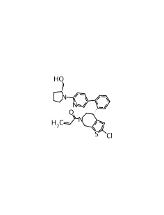 C=CC(=O)N1Cc2sc(Cl)cc2[C@@H](c2ccccc2-c2ccc(N3CCC[C@H]3CO)nc2)C1